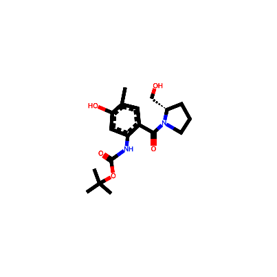 Cc1cc(C(=O)N2CCC[C@H]2CO)c(NC(=O)OC(C)(C)C)cc1O